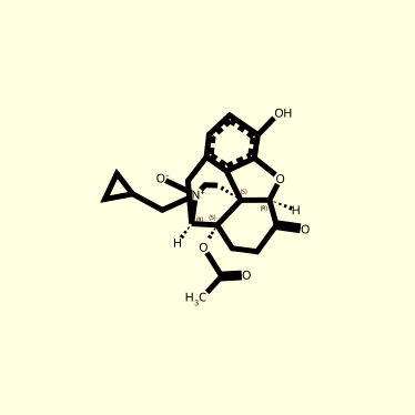 CC(=O)O[C@@]12CCC(=O)[C@@H]3Oc4c(O)ccc5c4[C@@]31CC[N+]([O-])(CC1CC1)[C@@H]2C5